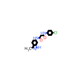 Cc1n[nH]c2cc(NC(=O)CC(=O)Nc3ccc(Cl)cc3)ccc12